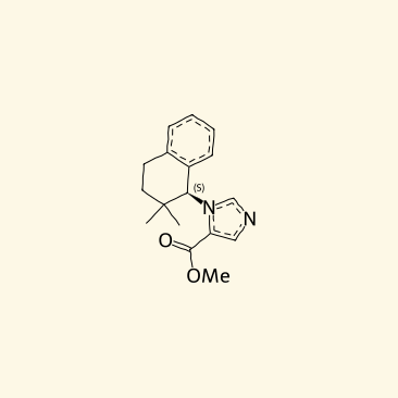 COC(=O)c1cncn1[C@@H]1c2ccccc2CCC1(C)C